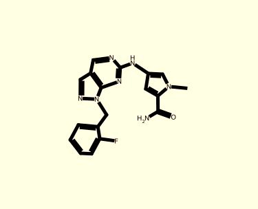 Cn1cc(Nc2ncc3cnn(Cc4ccccc4F)c3n2)cc1C(N)=O